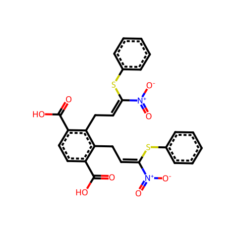 O=C(O)c1ccc(C(=O)O)c(CC=C(Sc2ccccc2)[N+](=O)[O-])c1CC=C(Sc1ccccc1)[N+](=O)[O-]